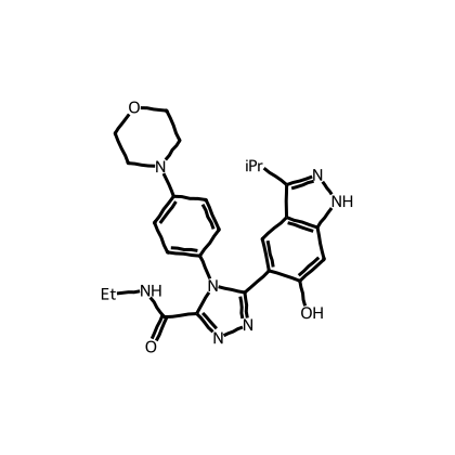 CCNC(=O)c1nnc(-c2cc3c(C(C)C)n[nH]c3cc2O)n1-c1ccc(N2CCOCC2)cc1